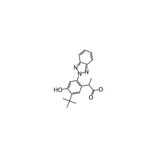 CC(C([O])=O)c1cc(C(C)(C)C)c(O)cc1-n1nc2ccccc2n1